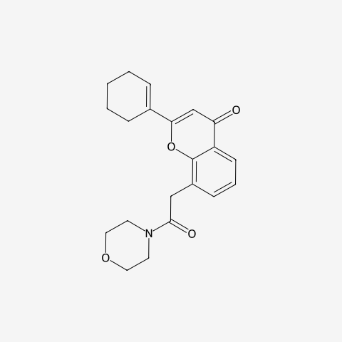 O=C(Cc1cccc2c(=O)cc(C3=CCCCC3)oc12)N1CCOCC1